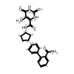 NC(=O)c1ccccc1-c1ccc([C@@H]2CC[C@H](NC(=O)c3[nH]c(=O)[nH]c(=O)c3N)C2)cc1